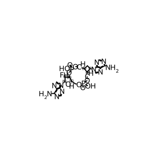 Nc1ncnc2c1ncn2[C@@H]1C[C@@H]2COP(=O)(O)O[C@H]3[C@@H](F)[C@H](n4cnc5c(N)ncnc54)O[C@@H]3COP(=O)(O)OC[C@H]21